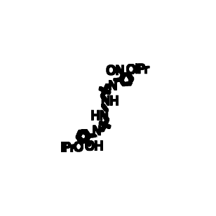 CC(C)OC1=CCCC(/C=N/CC(C)(C)CNCCNCC(C)(C)C/N=C/c2cccc(OC(C)C)c2O)=C1N=O